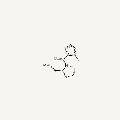 COC[C@@H]1CCCN1C(=O)c1nccn1C